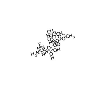 CCOC(=O)COP(=O)(N[C@@H](CC(C)C)C(=O)OCC)OC[C@H]1O[C@@H](n2cnc3c(N)nc(F)nc32)[C@@H](O)[C@@H]1O